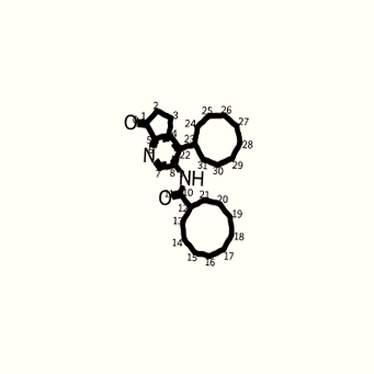 O=C1CCc2c1ncc(NC(=O)C1CCCCCCCCC1)c2C1CCCCCCCC1